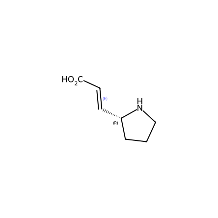 O=C(O)/C=C/[C@H]1CCCN1